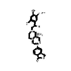 COc1cc(C(O)CN2CCN3C[C@@H](c4ccc5c(c4)COC5=O)OC[C@]3(N)C2)c(Cl)cc1C#N